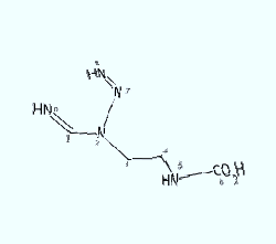 N=CN(CCNC(=O)O)N=N